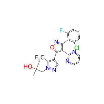 CC(C)(O)Cn1ncc(-c2onc(-c3c(F)cccc3Cl)c2-c2ncccn2)c1C(F)(F)F